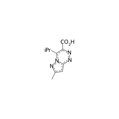 Cc1cc2nnc(C(=O)O)c(C(C)C)n2n1